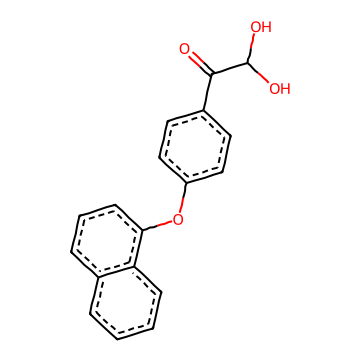 O=C(c1ccc(Oc2cccc3ccccc23)cc1)C(O)O